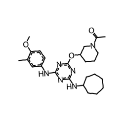 COc1ccc(Nc2nc(NC3CCCCCC3)nc(OC3CCCN(C(C)=O)C3)n2)cc1C